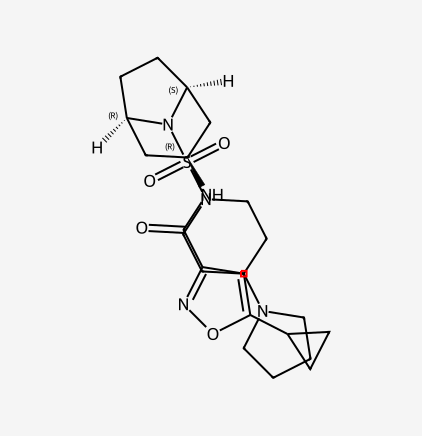 O=C(N[C@H]1C[C@H]2CC[C@@H](C1)N2S(=O)(=O)N1CCC(N2CCCC2)CC1)c1cc(C2CC2)on1